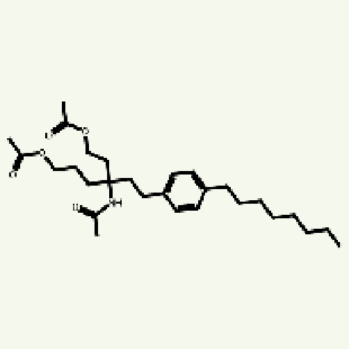 CCCCCCCCc1ccc(CCC(CCCOC(C)=O)(CCOC(C)=O)NC(C)=O)cc1